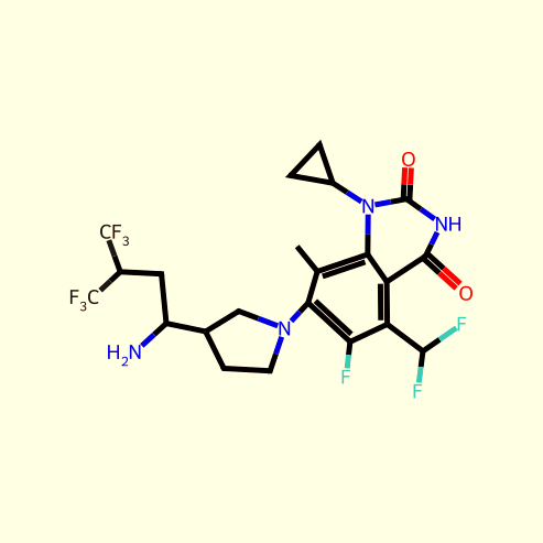 Cc1c(N2CCC(C(N)CC(C(F)(F)F)C(F)(F)F)C2)c(F)c(C(F)F)c2c(=O)[nH]c(=O)n(C3CC3)c12